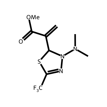 C=C(C(=O)OC)C1SC(C(F)(F)F)=NN1N(C)C